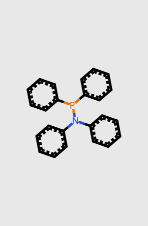 c1ccc(N(c2ccccc2)P(c2ccccc2)c2ccccc2)cc1